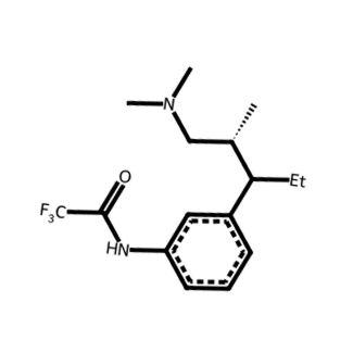 CCC(c1cccc(NC(=O)C(F)(F)F)c1)[C@@H](C)CN(C)C